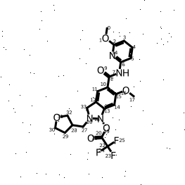 COc1cccc(NC(=O)c2cc3c(cc2OC)N(OC(=O)C(F)(F)F)N(CC2CCOC2)C3)n1